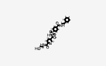 O=C(NCCc1ccccc1)c1ccc(S(=O)(=O)NC(=O)c2ccc(C(=O)NCCO)nc2)cc1